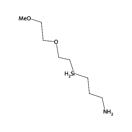 COCCOCC[SiH2]CCCN